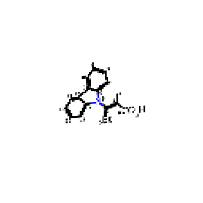 CCC(=C(C)C(=O)O)n1c2ccccc2c2ccccc21